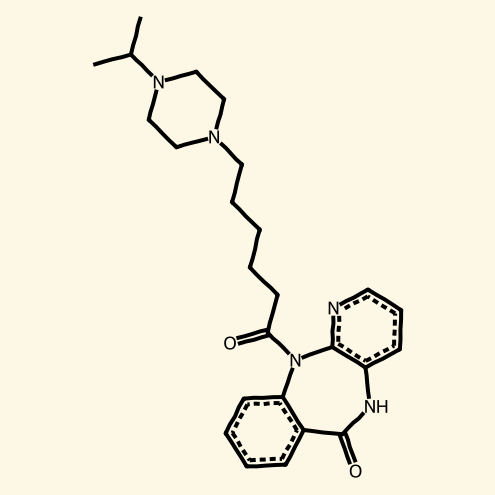 CC(C)N1CCN(CCCCCC(=O)N2c3ccccc3C(=O)Nc3cccnc32)CC1